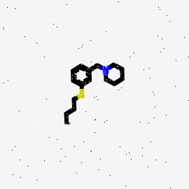 [CH2]CCCSc1cccc(CN2CCCCC2)c1